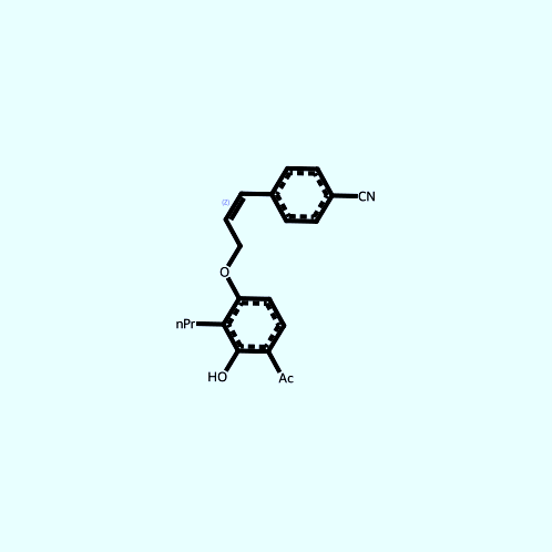 CCCc1c(OC/C=C\c2ccc(C#N)cc2)ccc(C(C)=O)c1O